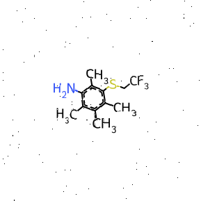 Cc1c(C)c(N)c(C)c(SCC(F)(F)F)c1C